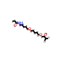 CCC(=O)NCCCCCOCCCCCOCC(=O)C(C)C